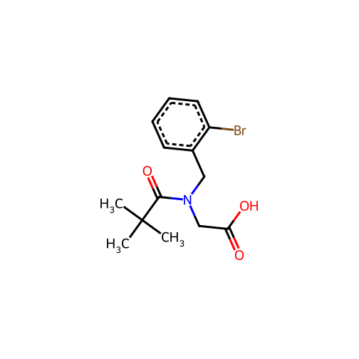 CC(C)(C)C(=O)N(CC(=O)O)Cc1ccccc1Br